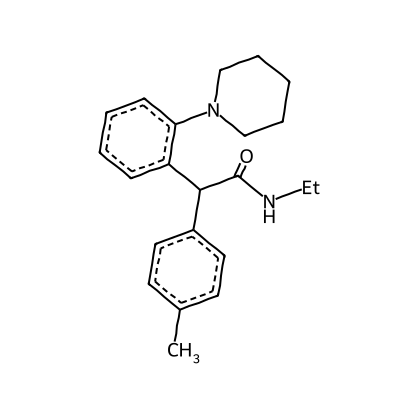 CCNC(=O)C(c1ccc(C)cc1)c1ccccc1N1CCCCC1